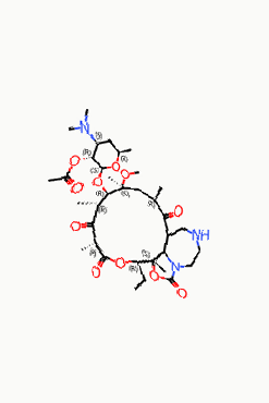 CC[C@H]1OC(=O)[C@H](C)C(=O)[C@H](C)[C@@H](O[C@@H]2O[C@H](C)C[C@H](N(C)C)[C@H]2OC(C)=O)[C@@](C)(OC)C[C@@H](C)C(=O)C2CNCCN3C(=O)O[C@@]1(C)C23